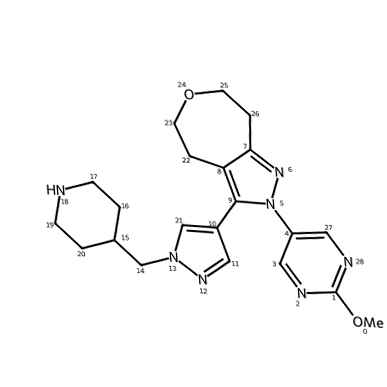 COc1ncc(-n2nc3c(c2-c2cnn(CC4CCNCC4)c2)CCOCC3)cn1